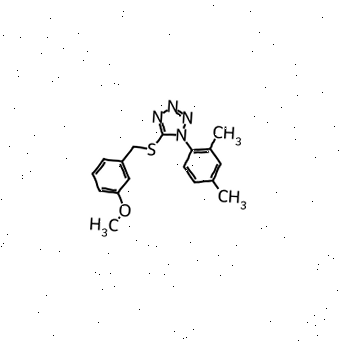 COc1cccc(CSc2nnnn2-c2ccc(C)cc2C)c1